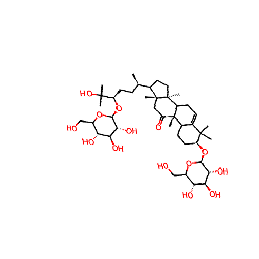 C[C@H](CC[C@@H](O[C@@H]1O[C@H](CO)[C@@H](O)[C@H](O)[C@H]1O)C(C)(C)O)C1CC[C@@]2(C)C3CC=C4C(CC[C@H](O[C@@H]5O[C@H](CO)[C@@H](O)[C@H](O)[C@H]5O)C4(C)C)[C@]3(C)C(=O)C[C@]12C